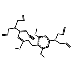 C#C/C=C(\C=C(/CCc1c(OC)cc(N(CC=C)CC=C)cc1OC)OC)N(CC=C)CC=C